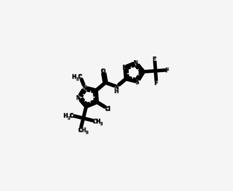 Cn1nc(C(C)(C)C)c(Cl)c1C(=O)Nc1nnc(C(F)(F)F)s1